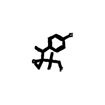 CC(c1ccc(Cl)cc1)C1(C(C)(C)CF)CO1